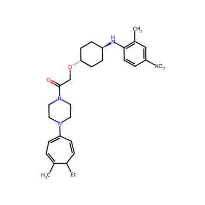 CCC1C=CC(N2CCN(C(=O)CO[C@H]3CC[C@H](Nc4ccc([N+](=O)[O-])cc4C)CC3)CC2)=CC=C1C